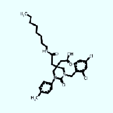 CCCCCCCCNC(=O)CC1(CC(=O)O)CN(Cc2ccc(Cl)cc2Cl)C(=O)N(c2ccc(C)cc2)C1